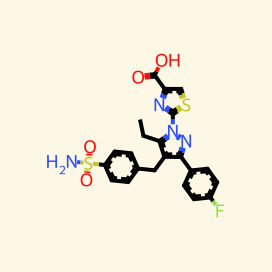 CCc1c(Cc2ccc(S(N)(=O)=O)cc2)c(-c2ccc(F)cc2)nn1-c1nc(C(=O)O)cs1